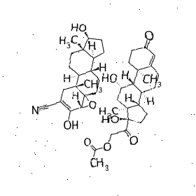 CC(=O)OCC(=O)[C@@]1(O)CC[C@H]2[C@@H]3CCC4=CC(=O)CC[C@]4(C)[C@H]3[C@@H](O)C[C@@]21C.C[C@]12CC[C@H]3[C@@H](CC[C@@]45O[C@@H]4C(O)=C(C#N)C[C@]35C)[C@@H]1CC[C@@H]2O